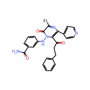 CCc1nc(-c2ccncc2)c(C(=O)CCc2ccccc2)n(Nc2cccc(C(N)=O)c2)c1=O